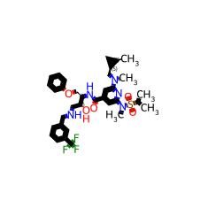 CC(C)S(=O)(=O)N(C)c1cc(C(=O)N[C@@H](COc2ccccc2)[C@H](O)CNCc2cccc(C(F)(F)F)c2)cc(N(C)C[C@H]2C[C@@H]2C)n1